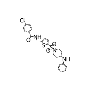 O=C(NCc1ccc(S(=O)(=O)N2CCC(Nc3ccccc3)CC2)s1)c1ccc(Cl)cc1